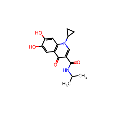 CC(C)NC(=O)c1cn(C2CC2)c2cc(O)c(O)cc2c1=O